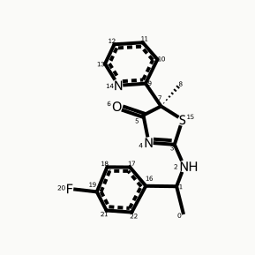 CC(NC1=NC(=O)[C@@](C)(c2ccccn2)S1)c1ccc(F)cc1